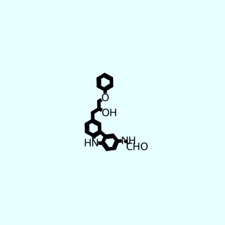 O=CNc1ccc2[nH]c3ccc(CC(O)COc4ccccc4)cc3c2c1